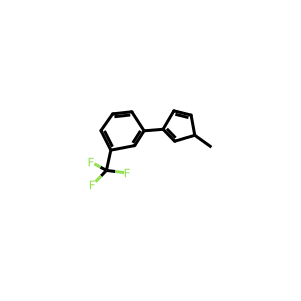 CC1C=CC(c2cccc(C(F)(F)F)c2)=C1